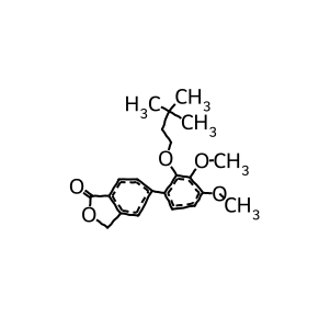 COc1ccc(-c2ccc3c(c2)COC3=O)c(OCCC(C)(C)C)c1OC